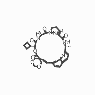 C[C@@H]1NC(=O)[C@H](C2CCC2)OC(=O)C2(/C=C/c3ccc4ccc(nc4c3)[C@@H](C)NC(=O)[C@@H]3CCCN(N3)C1=O)COCOC2